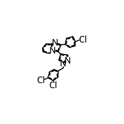 Clc1ccc(-c2nc3ccccn3c2-c2cnn(Cc3ccc(Cl)c(Cl)c3)c2)cc1